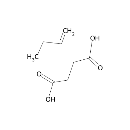 C=CCC.O=C(O)CCC(=O)O